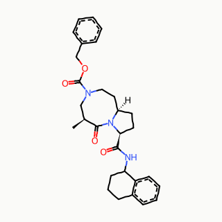 C[C@H]1CN(C(=O)OCc2ccccc2)CC[C@H]2CC[C@@H](C(=O)NC3CCCc4ccccc43)N2C1=O